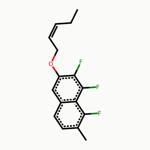 CC/C=C\COc1cc2ccc(C)c(F)c2c(F)c1F